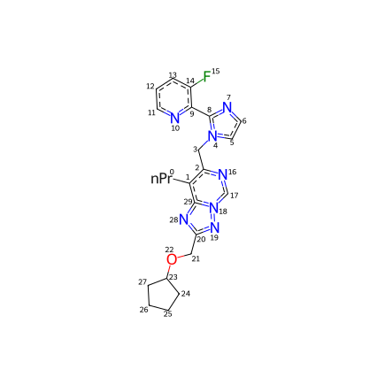 CCCc1c(Cn2ccnc2-c2ncccc2F)ncn2nc(COC3CCCC3)nc12